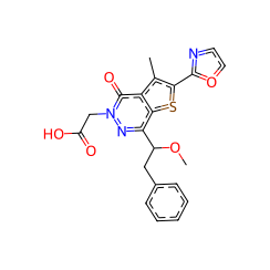 COC(Cc1ccccc1)c1nn(CC(=O)O)c(=O)c2c(C)c(-c3ncco3)sc12